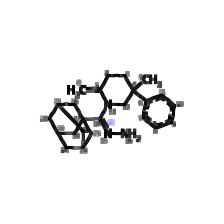 C=C1CCC(C)(c2ccccc2)CN1/C(=N\N)C12CC3CC(CC(C3)C1)C2